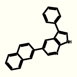 c1ccc(-c2c[nH]c3ncc(-c4ccc5ccccc5c4)cc23)cc1